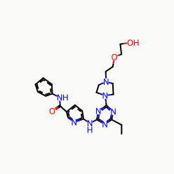 CCc1nc(Nc2ccc(C(=O)Nc3ccccc3)cn2)nc(N2CCN(CCOCCO)CC2)n1